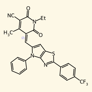 CCN1C(=O)C(C#N)=C(C)/C(=C/c2cc3sc(-c4ccc(C(F)(F)F)cc4)nc3n2-c2ccccc2)C1=O